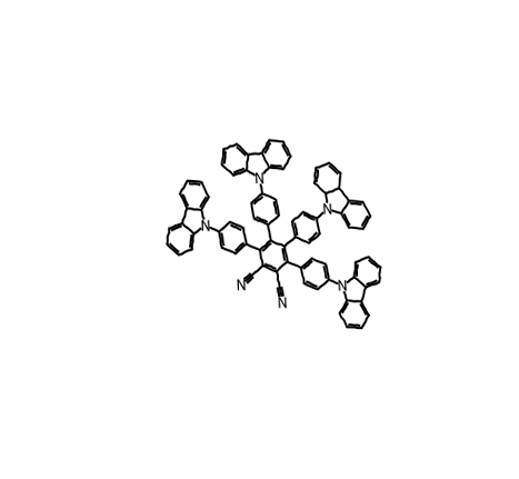 N#Cc1c(C#N)c(-c2ccc(-n3c4ccccc4c4ccccc43)cc2)c(-c2ccc(-n3c4ccccc4c4ccccc43)cc2)c(-c2ccc(N3c4ccccc4C4C=CC=CC43)cc2)c1-c1ccc(-n2c3ccccc3c3ccccc32)cc1